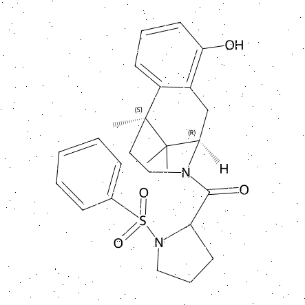 CC1(C)[C@H]2Cc3c(O)cccc3[C@]1(C)CCN2C(=O)C1CCCN1S(=O)(=O)c1ccccc1